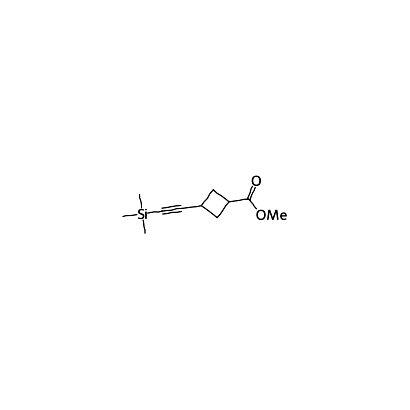 COC(=O)C1CC(C#C[Si](C)(C)C)C1